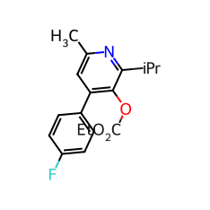 CCOC(=O)Oc1c(-c2ccc(F)cc2)cc(C)nc1C(C)C